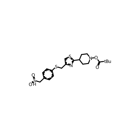 CC(C)(C)C(=O)ON1CCC(c2nc(CSc3ccc(C[SH](=O)=O)cc3)cs2)CC1